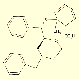 CC1(S[C@@H](c2ccccc2)[C@@H]2CN(Cc3ccccc3)CCO2)C=CC=CC1C(=O)O